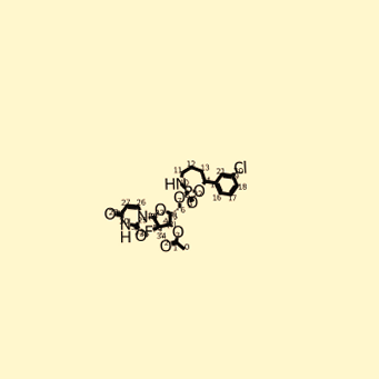 CC(=O)O[C@@H]1[C@@H](COP2(=O)NCCCC(c3cccc(Cl)c3)O2)O[C@@H](n2ccc(=O)[nH]c2=O)[C@]1(C)F